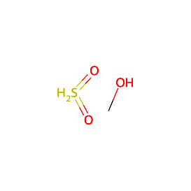 CO.O=[SH2]=O